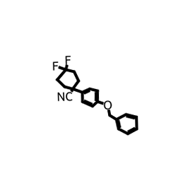 N#CC1(c2ccc(OCc3ccccc3)cc2)CCC(F)(F)CC1